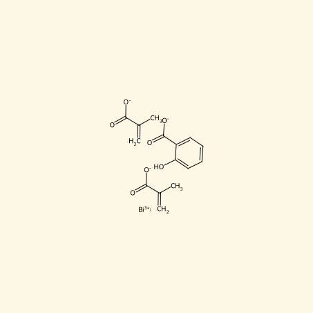 C=C(C)C(=O)[O-].C=C(C)C(=O)[O-].O=C([O-])c1ccccc1O.[Bi+3]